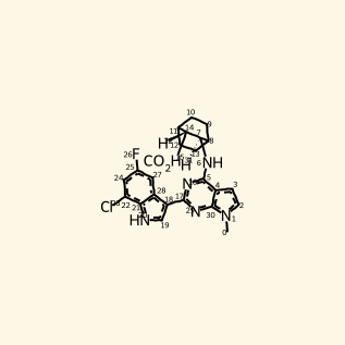 Cn1ccc2c(N[C@@H]3C4CCC(CC4)[C@H]3C(=O)O)nc(-c3c[nH]c4c(Cl)cc(F)cc34)nc21